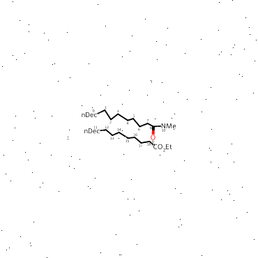 CCCCCCCCCCCCCCCCCC(=O)NC.CCCCCCCCCCCCCCCCCC(=O)OCC